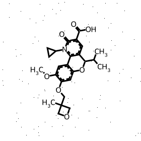 COc1cc2c(cc1OCC1(C)COC1)OC(C(C)C)c1cc(C(=O)O)c(=O)n(C3CC3)c1-2